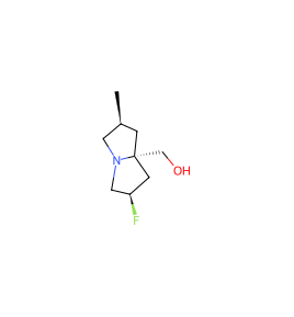 C[C@@H]1CN2C[C@H](F)C[C@]2(CO)C1